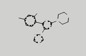 Clc1ccc(-c2nc(N3CCOCC3)sc2-n2cncn2)c(Cl)c1